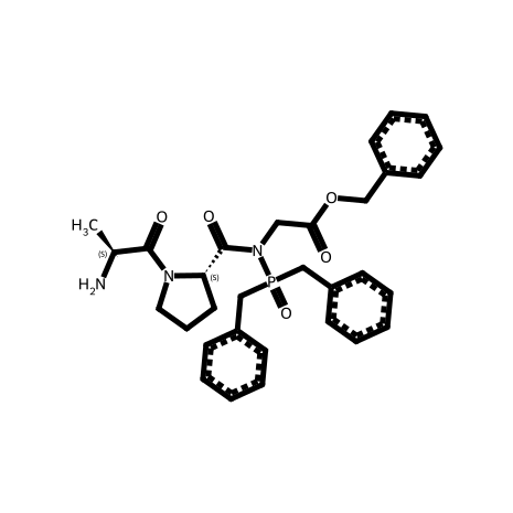 C[C@H](N)C(=O)N1CCC[C@H]1C(=O)N(CC(=O)OCc1ccccc1)P(=O)(Cc1ccccc1)Cc1ccccc1